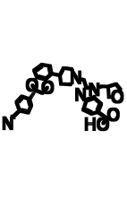 N#Cc1ccc([C@@H]2COc3c(cccc3C3CCN(Cc4nc5ccc(C(=O)O)cc5n4CC4CCOC4)CC3)O2)cc1